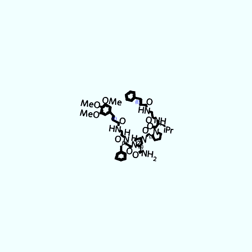 CC(C)C[C@H](NC(=O)CNC(=O)/C=C/c1ccccc1)C(=O)N1CCC[C@H]1C(N)=O.COc1cc(/C=C/C(=O)NCC(=O)N[C@@H](Cc2ccccc2)C(=O)N2CCC[C@H]2C(N)=O)cc(OC)c1OC